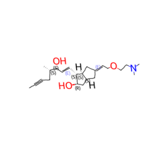 CC#CC[C@H](C)[C@H](O)/C=C/[C@@H]1[C@H]2C/C(=C/COCCN(C)C)C[C@H]2C[C@H]1O